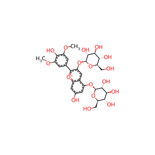 COc1cc(-c2[o+]c3cc(O)cc(O[C@@H]4O[C@H](CO)[C@@H](O)[C@H](O)[C@H]4O)c3cc2O[C@@H]2O[C@H](CO)[C@@H](O)[C@H](O)[C@H]2O)cc(OC)c1O